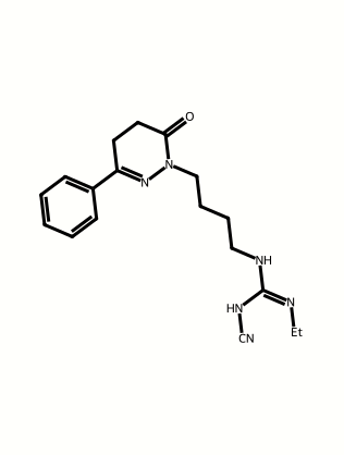 CCN=C(NC#N)NCCCCN1N=C(c2ccccc2)CCC1=O